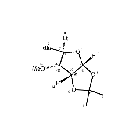 CC[C@]1(C(C)(C)C)O[C@@H]2OC(C)(C)O[C@@H]2[C@@H]1OC